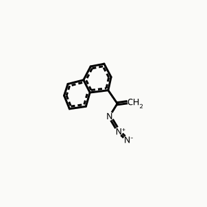 C=C(N=[N+]=[N-])c1cccc2ccccc12